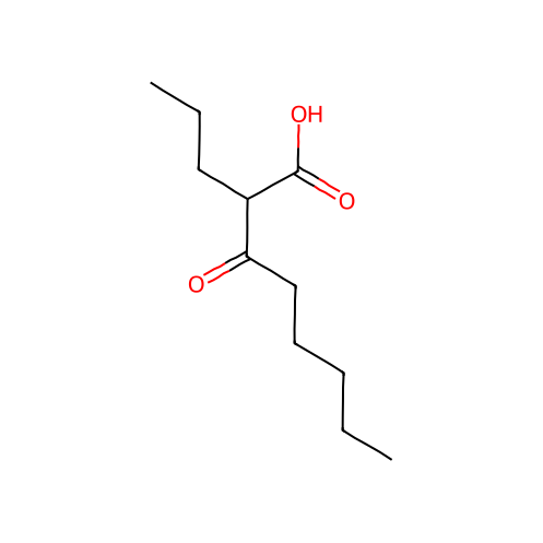 CCCCCC(=O)C(CCC)C(=O)O